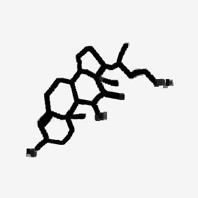 CC(CCC(=O)O)C1CCC2C3CCC4=CC(O)CC[C@@]4(C)C3C(O)C(=O)[C@@]12C